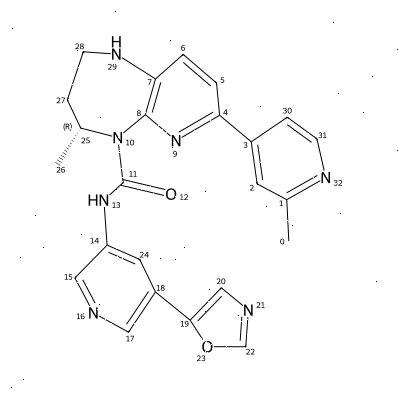 Cc1cc(-c2ccc3c(n2)N(C(=O)Nc2cncc(-c4cnco4)c2)[C@H](C)CCN3)ccn1